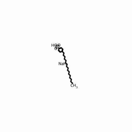 CCCCCCCCCCCCCCCCCCc1ccc(S(=O)(=O)O)cc1.[NaH]